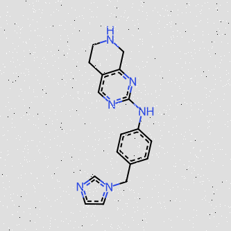 c1cn(Cc2ccc(Nc3ncc4c(n3)CNCC4)cc2)cn1